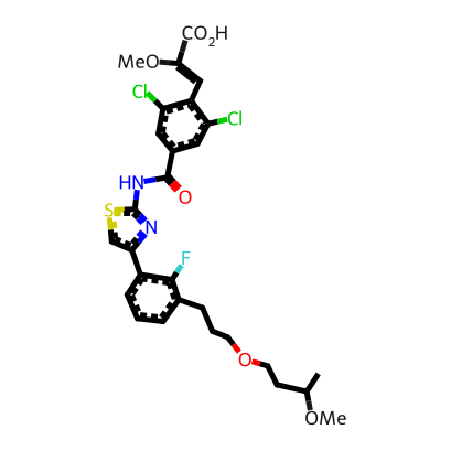 CO/C(=C\c1c(Cl)cc(C(=O)Nc2nc(-c3cccc(CCCOCCC(C)OC)c3F)cs2)cc1Cl)C(=O)O